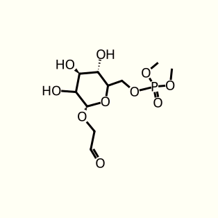 COP(=O)(OC)OCC1O[C@H](OCC=O)C(O)[C@@H](O)[C@@H]1O